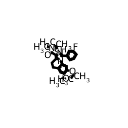 COc1cc2c(cc1OC(C)C)-n1c(-c3cccc(F)c3)nc(C(=O)N(C)C(C)(C)C)c1CC2